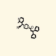 Cc1ncccc1C(C#N)N1CCN(C(=O)C=C(c2ccccc2)c2ccccc2)CC1